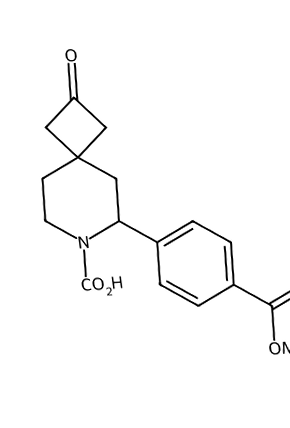 COC(=O)c1ccc(C2CC3(CCN2C(=O)O)CC(=O)C3)cc1